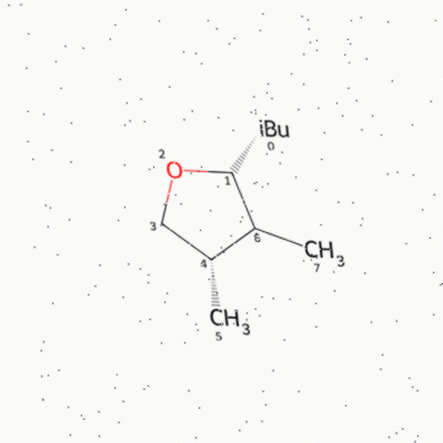 CC[C@@H](C)C1OC[C@@H](C)C1C